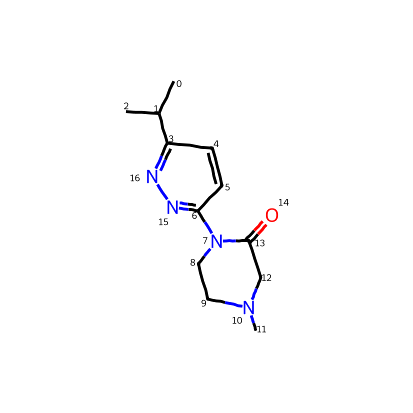 CC(C)c1ccc(N2CCN(C)CC2=O)nn1